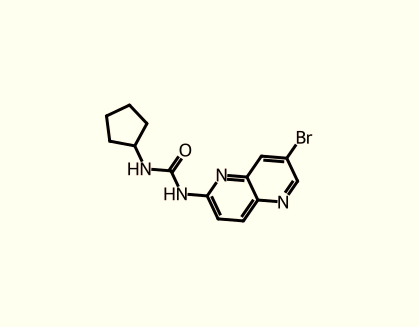 O=C(Nc1ccc2ncc(Br)cc2n1)NC1CCCC1